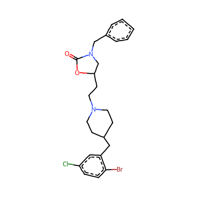 O=C1OC(CCN2CCC(Cc3cc(Cl)ccc3Br)CC2)CN1Cc1ccccc1